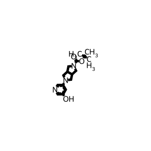 CC(C)(C)OC(=O)N1CC2CN(c3cncc(O)c3)CC2C1